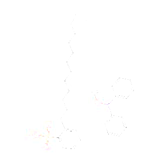 CCCCCCCCCCCCc1ccccc1S(=O)(=O)O.COI(c1ccccc1)c1ccccc1